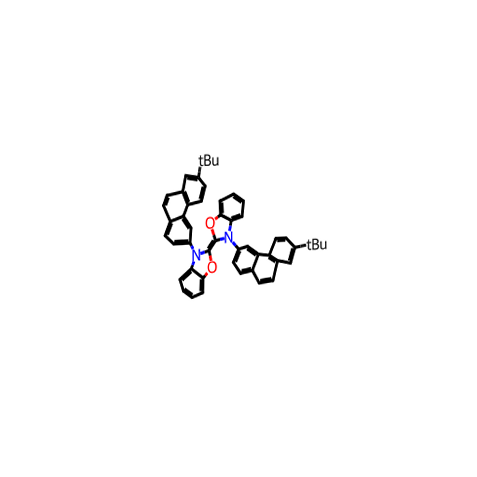 CC(C)(C)c1ccc2c(ccc3ccc(N4/C(=C5\Oc6ccccc6N5c5ccc6ccc7cc(C(C)(C)C)ccc7c6c5)Oc5ccccc54)cc32)c1